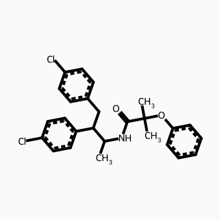 CC(NC(=O)C(C)(C)Oc1ccccc1)C(Cc1ccc(Cl)cc1)c1ccc(Cl)cc1